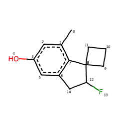 Cc1cc(O)cc2c1C1(CCC1)C(F)C2